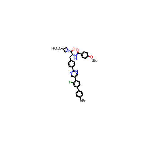 CCCc1ccc(-c2ccc(-c3cnc(-c4ccc(C[C@H](NC(=O)c5ccc(OC(C)(C)C)cc5)C(=O)N5CC(C(=O)O)C5)cc4)nc3)c(F)c2)cc1